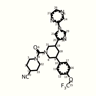 N#CC1CCN(C(=O)N2CC(c3ccc(OC(F)(F)F)cc3)CC(c3cn(-c4cnccn4)cn3)C2)CC1